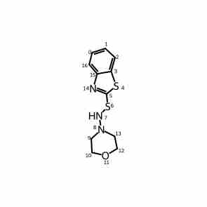 c1ccc2sc(SNN3CCOCC3)nc2c1